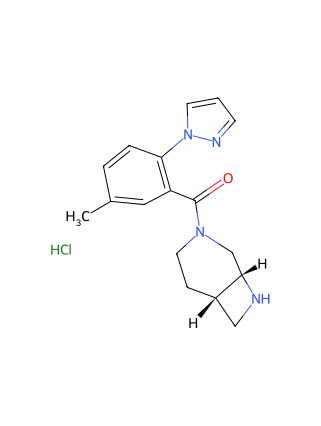 Cc1ccc(-n2cccn2)c(C(=O)N2CC[C@H]3CN[C@H]3C2)c1.Cl